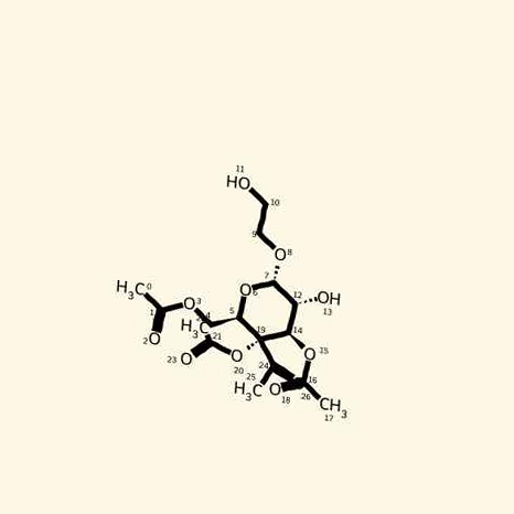 CC(=O)OC[C@H]1O[C@H](OCCO)[C@H](O)[C@@H](OC(C)=O)[C@@]1(OC(C)=O)C(C)=O